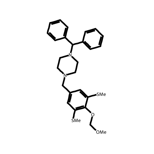 COCOc1c(SC)cc(CN2CCN(C(c3ccccc3)c3ccccc3)CC2)cc1SC